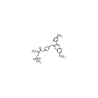 CN(CCS(C)(=O)=O)C(=O)CN1CC2C(C1)C2CN(Cc1cccc(OC(F)(F)F)c1)C(=O)c1cn(C)cn1